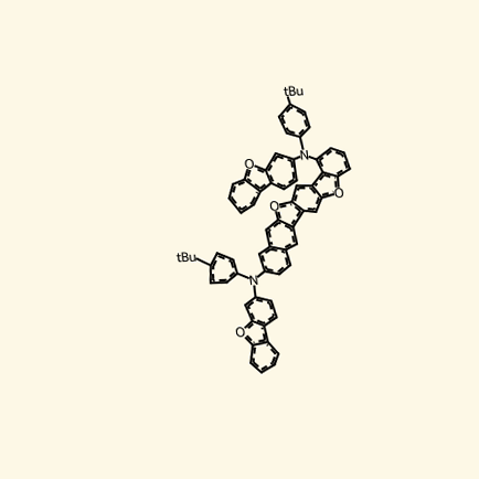 CC(C)(C)c1ccc(N(c2ccc3cc4c(cc3c2)oc2cc3c(cc24)oc2cccc(N(c4ccc(C(C)(C)C)cc4)c4ccc5c(c4)oc4ccccc45)c23)c2ccc3c(c2)oc2ccccc23)cc1